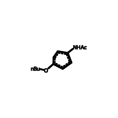 [CH2]C(=O)Nc1ccc(OCCCC)cc1